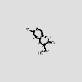 O=c1oc2ccc(F)cc2cc1CO